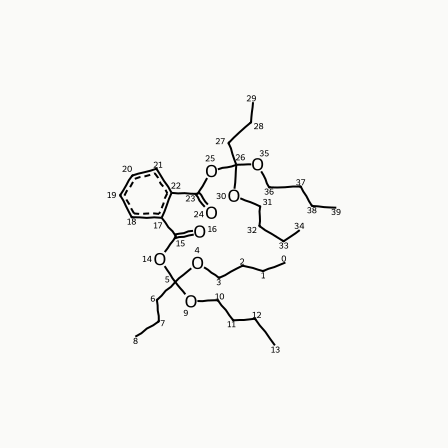 CCCCOC(CCC)(OCCCC)OC(=O)c1ccccc1C(=O)OC(CCC)(OCCCC)OCCCC